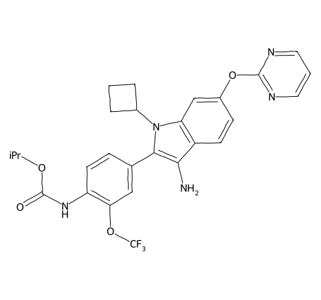 CC(C)OC(=O)Nc1ccc(-c2c(N)c3ccc(Oc4ncccn4)cc3n2C2CCC2)cc1OC(F)(F)F